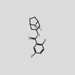 CN1C2CCC1CC(OC(=O)c1cc(F)ccc1F)C2